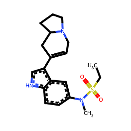 CCS(=O)(=O)N(C)c1ccc2[nH]cc(C3=CCN4CCCC4C3)c2c1